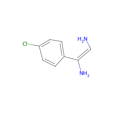 N/C=C(/N)c1ccc(Cl)cc1